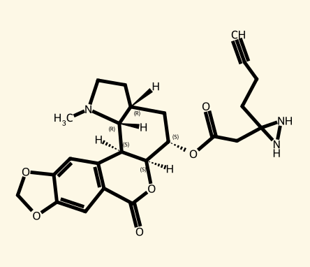 C#CCCC1(CC(=O)O[C@H]2C[C@H]3CCN(C)[C@H]3[C@@H]3c4cc5c(cc4C(=O)O[C@@H]32)OCO5)NN1